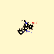 C=c1cccc/c1=C/C1=C(N)C[C@@]2(c3cccc(O)c3)CCN(C)C[C@@H]2C1